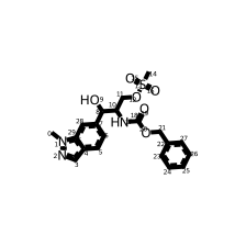 Cn1ncc2ccc(C(O)C(COS(C)(=O)=O)NC(=O)OCc3ccccc3)cc21